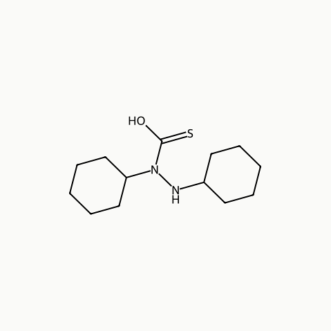 OC(=S)N(NC1CCCCC1)C1CCCCC1